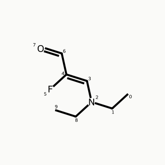 CCN(C=C(F)C=O)CC